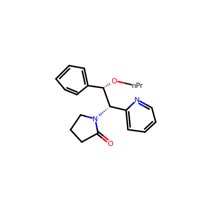 CCCO[C@@H](c1ccccc1)[C@H](c1ccccn1)N1CCCC1=O